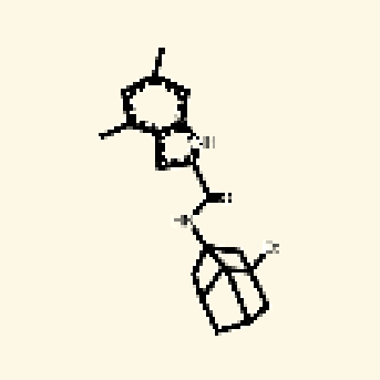 CCC12CC3CC(C1)CC(NC(=O)c1cc4c(C)cc(C)cc4[nH]1)(C3)C2